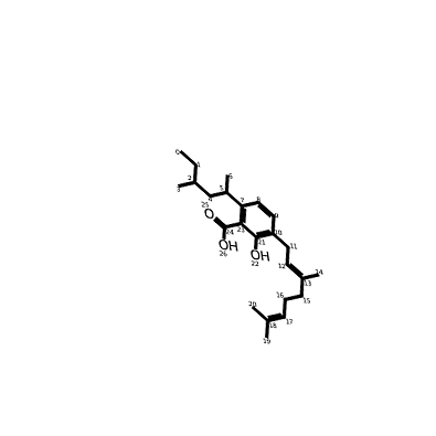 CCC(C)CC(C)c1ccc(C/C=C(\C)CCC=C(C)C)c(O)c1C(=O)O